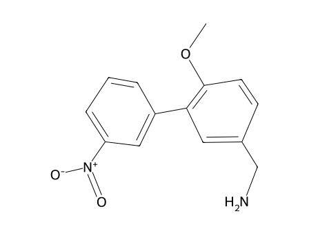 COc1ccc(CN)cc1-c1cccc([N+](=O)[O-])c1